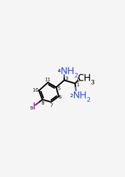 CC(N)C(N)c1ccc(I)cc1